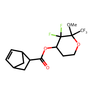 COC1(C(F)(F)F)OCCC(OC(=O)C2CC3C=CC2C3)C1(F)F